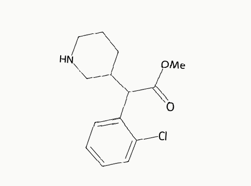 COC(=O)C(c1ccccc1Cl)C1CCCNC1